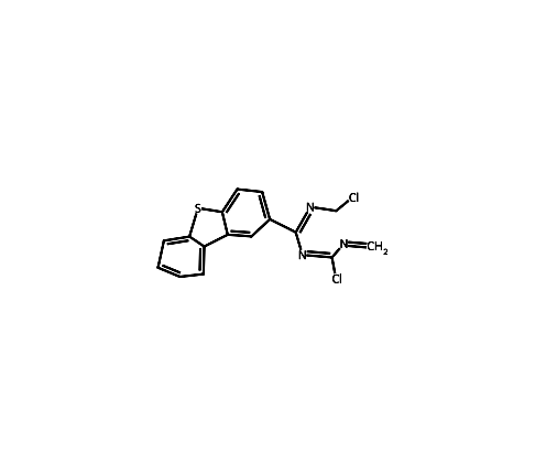 C=N/C(Cl)=N\C(=N/CCl)c1ccc2sc3ccccc3c2c1